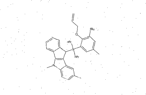 C=CCOc1c(C(C)(C)C)cc(C)cc1[Si](CCC)(CCC)C1c2ccccc2-c2c1c1cc(C)ccc1n2C